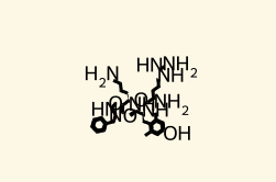 Cc1cc(O)cc(C)c1C[C@H](NC(=O)[C@H](N)CCCNC(=N)N)C(=O)N[C@@H](CCCCN)C1=CN(Cc2ccccc2)NO1